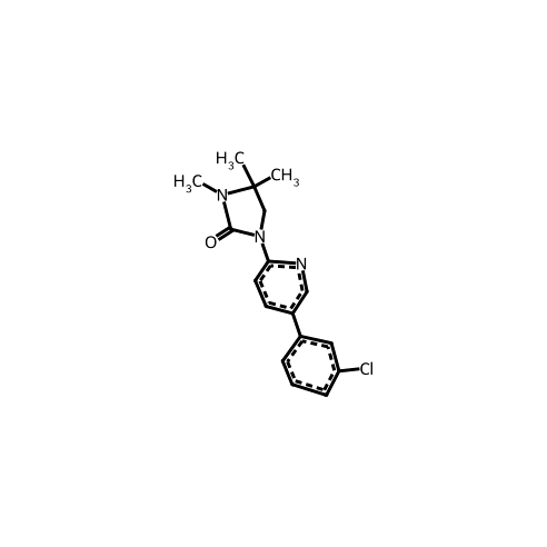 CN1C(=O)N(c2ccc(-c3cccc(Cl)c3)cn2)CC1(C)C